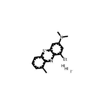 CCc1cc(N(C)C)cc2[s+]c3cccc(C)c3nc12.I.I.[I-]